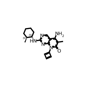 Cc1c(N)c2cnc(N[C@H]3CCCC[C@@H]3C)nc2n(C2=CC=C2)c1=O